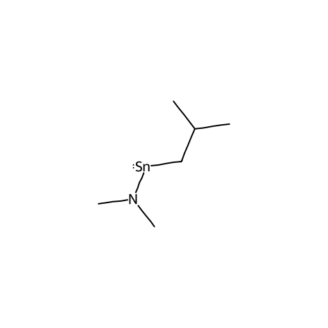 CC(C)[CH2][Sn][N](C)C